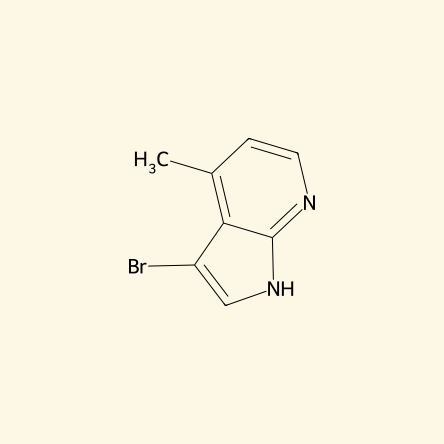 Cc1ccnc2[nH]cc(Br)c12